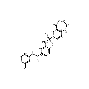 Cc1ccnc(NC(=O)c2cccc(NS(=O)(=O)c3ccc4c(c3)OCCCO4)c2)c1